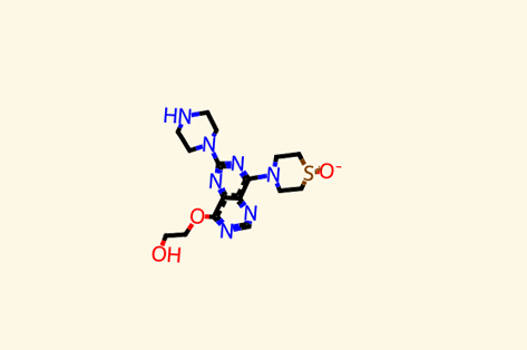 [O-][S+]1CCN(c2nc(N3CCNCC3)nc3c(OCCO)ncnc23)CC1